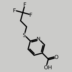 O=C(O)c1ccc(SCCC(F)(F)F)nc1